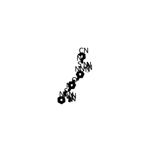 Cn1nnnc1-n1c(SCc2ccc(OCc3ccc4c(c3)nc(SCc3ccc(C#N)cn3)n4-c3nnnn3C)cn2)nc2ccccc21